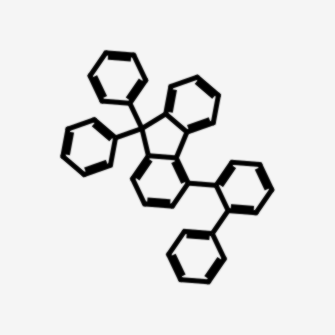 c1ccc(-c2ccccc2-c2cccc3c2-c2ccccc2C3(c2ccccc2)c2ccccc2)cc1